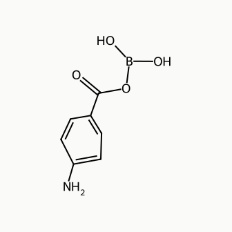 Nc1ccc(C(=O)OB(O)O)cc1